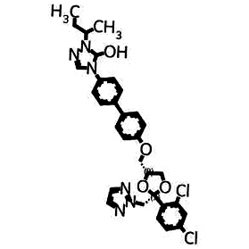 CCC(C)N1N=CN(c2ccc(-c3ccc(OC[C@@H]4CO[C@@](Cn5nccn5)(c5ccc(Cl)cc5Cl)O4)cc3)cc2)C1O